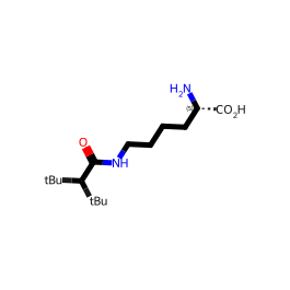 CC(C)(C)C(C(=O)NCCCC[C@H](N)C(=O)O)C(C)(C)C